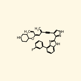 C=C/C(=C\C(=C)C#Cc1c[nH]nc1-c1nc2c(-c3cccc(F)c3)cccc2[nH]1)OC1CCNCC1